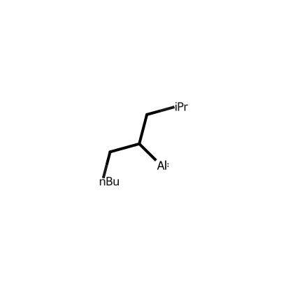 CCCCC[CH]([Al])CC(C)C